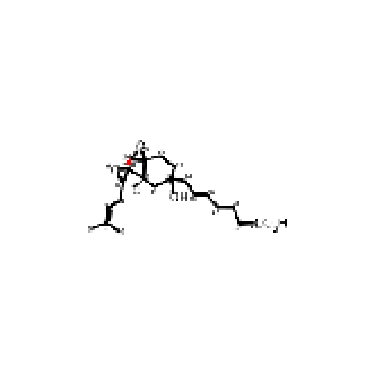 CC(C)=CCC1O[C@]1(C)[C@@]1(C)CC(O)(C/C=C/CCCC(=O)O)CC[C@]12CO2